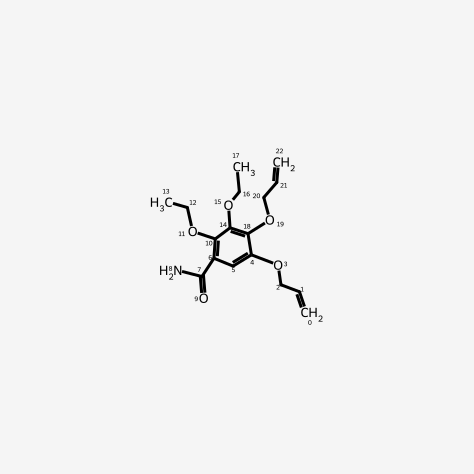 C=CCOc1cc(C(N)=O)c(OCC)c(OCC)c1OCC=C